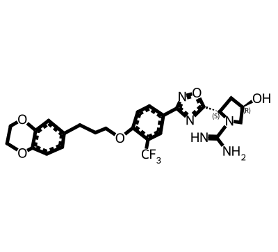 N=C(N)N1C[C@H](O)C[C@H]1c1nc(-c2ccc(OCCCc3ccc4c(c3)OCCO4)c(C(F)(F)F)c2)no1